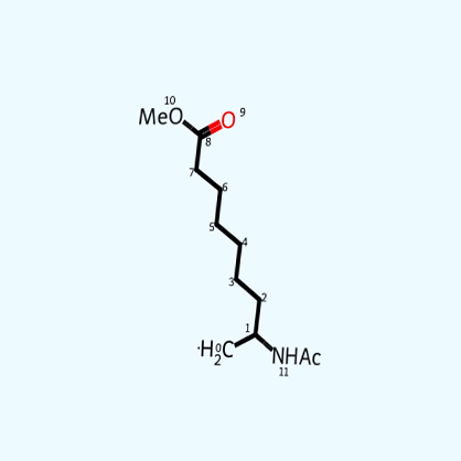 [CH2]C(CCCCCCC(=O)OC)NC(C)=O